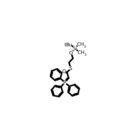 CC(C)(C)[Si](C)(C)OCCSC(=O)C=P(c1ccccc1)(c1ccccc1)c1ccccc1